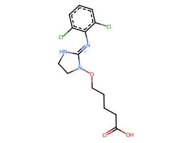 O=C(O)CCCCON1CCN/C1=N\c1c(Cl)cccc1Cl